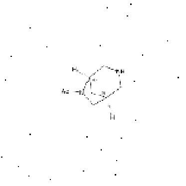 CC(=O)N1C[C@@H]2CNC[C@H]1C2